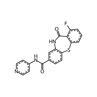 O=C(Nc1ccncc1)c1ccc2c(c1)NC(=O)c1c(F)cccc1S2